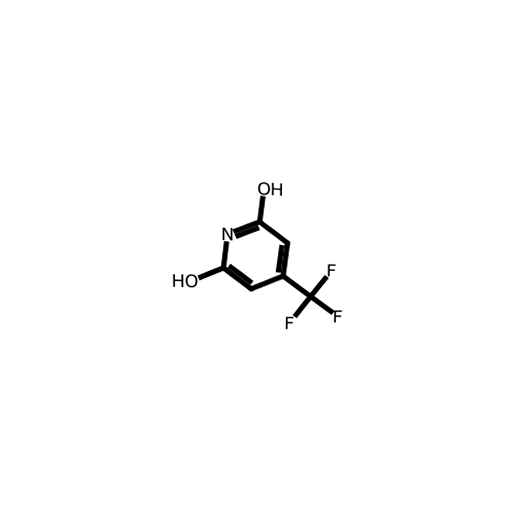 Oc1cc(C(F)(F)F)cc(O)n1